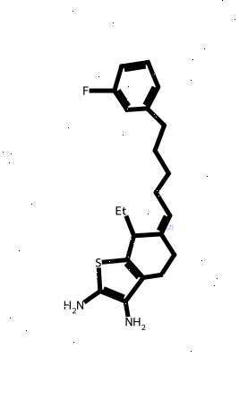 CCC1/C(=C\CCCCc2cccc(F)c2)CCc2c1sc(N)c2N